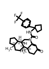 C[C@@]12CCC[C@H]1[C@@H]1CN(C(=O)NC3(c4ccc(C(F)(F)F)cc4)CCCC3)C3=CC(=O)CC[C@]3(C)[C@H]1CC2